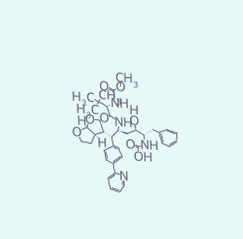 COC(=O)N[C@H](C(=O)N[C@@H](C[C@@H](O)[C@H](Cc1ccccc1)NC(=O)O)C(c1ccc(-c2ccccn2)cc1)[C@H]1CO[C@@H]2OCC[C@@H]21)C(C)(C)C